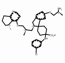 C[C@@H](COc1ccnc2c1[C@H](C)CCC2)C[C@H]1Cc2ccc(OC[C@H](C)N)cc2C12CCC(Nc1cccc(Cl)c1)(C(=O)O)CC2